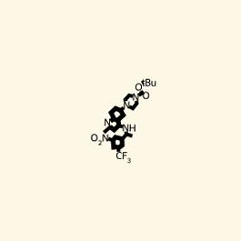 Cc1cc(NC(C)c2cc([N+](=O)[O-])cc(C(F)(F)F)c2)c2cc(N3CCN(C(=O)OC(C)(C)C)CC3)ccc2n1